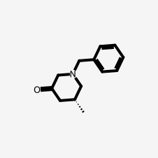 C[C@@H]1CC(=O)CN(Cc2ccccc2)C1